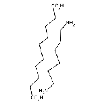 NCCCCCCN.O=C(O)CCCCCCCCC(=O)O